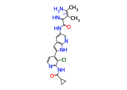 C/C(N)=C(\C)C(=N)C(=O)Nc1cnc2[nH]c(-c3ccnc(NC(=O)C4CC4)c3Cl)cc2c1